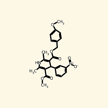 COC(=O)C1=C(C)NC(C)=C(C(=O)OCc2ccc(OC)cc2)C1c1cccc([N+](=O)[O-])c1